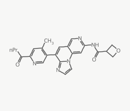 CCCC(=O)c1cc(C)c(-c2cc3cnc(NC(=O)C4COC4)cc3n3ccnc23)cn1